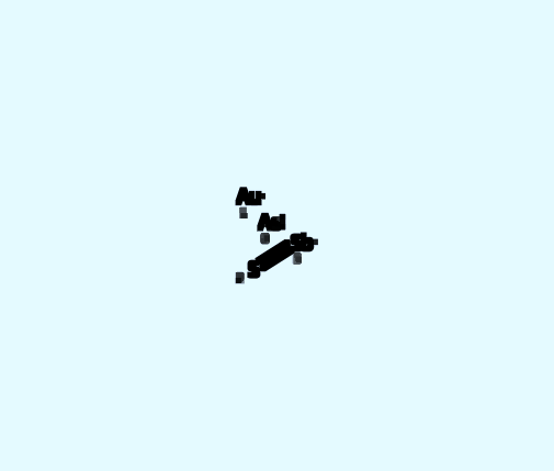 [As].[Au].[S]=[Sb]